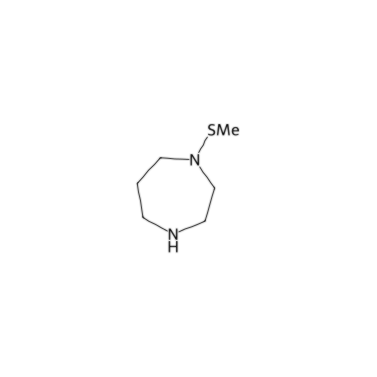 CSN1CCCNCC1